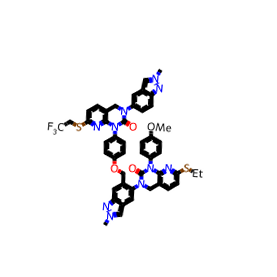 CCSc1ccc2c(n1)N(c1ccc(OC)cc1)C(=O)N(c1cc3cn(C)nc3cc1COc1ccc(N3C(=O)N(c4ccc5nn(C)cc5c4)Cc4ccc(SCC(F)(F)F)nc43)cc1)C2